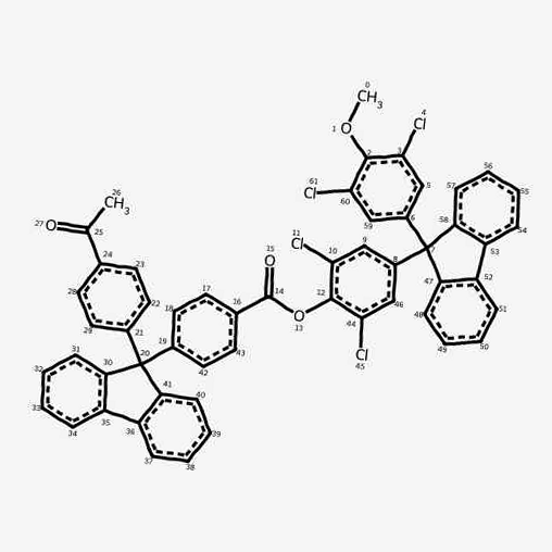 COc1c(Cl)cc(C2(c3cc(Cl)c(OC(=O)c4ccc(C5(c6ccc(C(C)=O)cc6)c6ccccc6-c6ccccc65)cc4)c(Cl)c3)c3ccccc3-c3ccccc32)cc1Cl